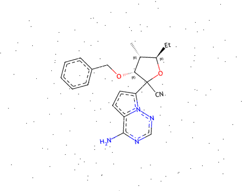 CC[C@H]1OC(C#N)(c2ccc3c(N)ncnn23)[C@H](OCc2ccccc2)[C@@H]1C